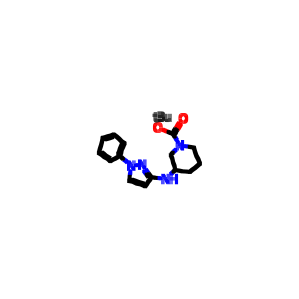 CC(C)(C)OC(=O)N1CCCC(Nc2ccn(-c3ccccc3)n2)C1